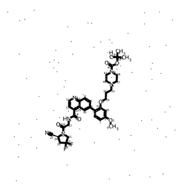 COc1ccc(-c2ccc3nccc(C(=O)NCC(=O)N4CC(F)(F)C[C@H]4C#N)c3c2)c(OCCCN2CCN(C(=O)OC(C)(C)C)CC2)c1